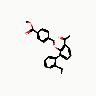 CCc1ccccc1-c1cccc(C(C)=O)c1OCc1ccc(C(=O)OC)cc1